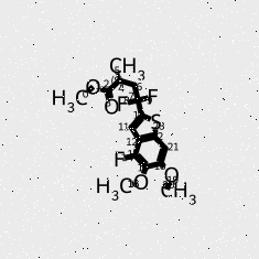 COC(=O)[C@@H](C)CC(F)(F)c1cc2c(F)c(OC)c(OC)cc2s1